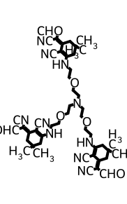 CC1(C)CC(NCCOCCN(CCOCCNC2=C(C#N)/C(=C(\C#N)C=O)CC(C)(C)C2)CCOCCNC2=C(C#N)/C(=C(\C#N)C=O)CC(C)(C)C2)=C(C#N)/C(=C(\C#N)C=O)C1